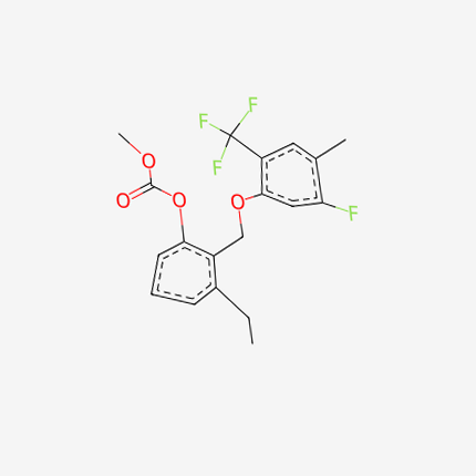 CCc1cccc(OC(=O)OC)c1COc1cc(F)c(C)cc1C(F)(F)F